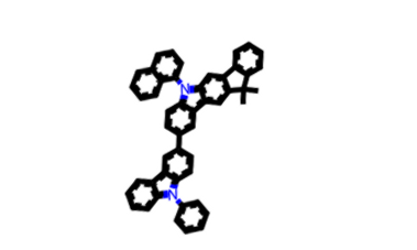 CC1(C)c2ccccc2-c2cc3c(cc21)c1cc(-c2ccc4c(c2)c2ccccc2n4-c2ccccc2)ccc1n3-c1cccc2ccccc12